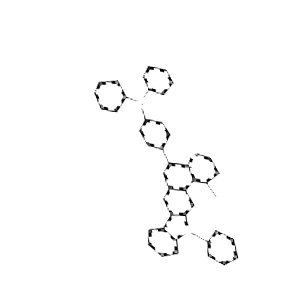 Cc1ccnc2c(-c3ccc(N(c4ccccc4)c4ccccc4)cc3)cc3cc4c5ccccc5n(-c5ccccc5)c4cc3c12